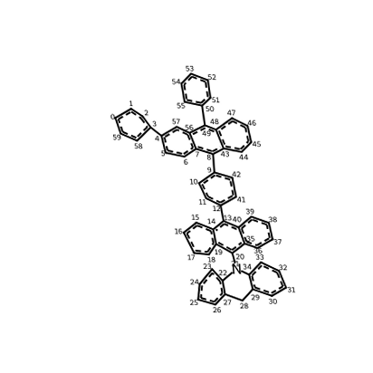 c1ccc(-c2ccc3c(-c4ccc(-c5c6ccccc6c(N6c7ccccc7Cc7ccccc76)c6ccccc56)cc4)c4ccccc4c(-c4ccccc4)c3c2)cc1